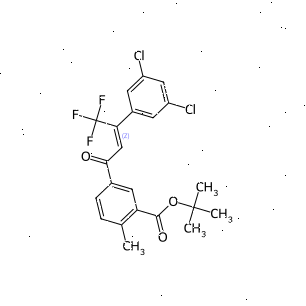 Cc1ccc(C(=O)/C=C(/c2cc(Cl)cc(Cl)c2)C(F)(F)F)cc1C(=O)OC(C)(C)C